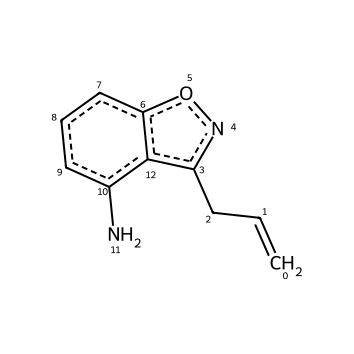 C=CCc1noc2cccc(N)c12